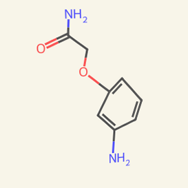 NC(=O)COc1cccc(N)c1